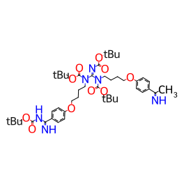 CC(=N)c1ccc(OCCCCN(C(=O)OC(C)(C)C)/C(=N\C(=O)OC(C)(C)C)N(CCCCOc2ccc(C(=N)NC(=O)OC(C)(C)C)cc2)C(=O)OC(C)(C)C)cc1